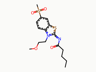 CCCCC(=O)N=c1sc2cc(S(C)(=O)=O)ccc2n1CCOC